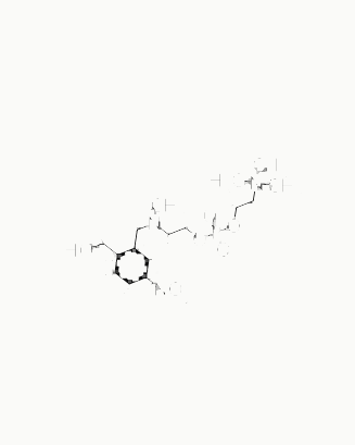 CN(CCOP(=O)([O-])OCC[N+](C)(C)C)Cc1cc([N+](=O)[O-])ccc1CO